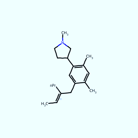 C/C=C(\CCC)Cc1cc(C2CCN(C)C2)c(C)cc1C